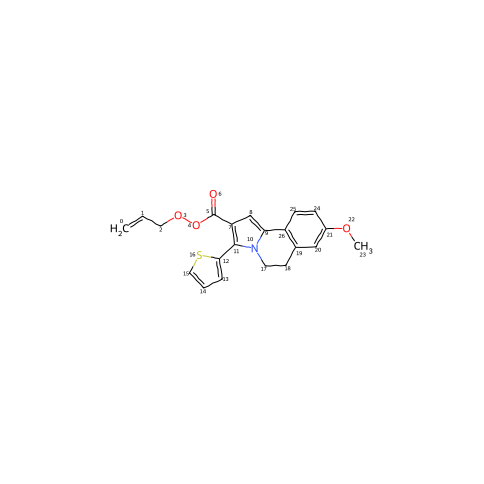 C=CCOOC(=O)c1cc2n(c1-c1cccs1)CCc1cc(OC)ccc1-2